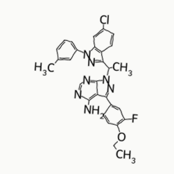 CCOc1ccc(-c2nn(C(C)c3nn(-c4cccc(C)c4)c4cc(Cl)ccc34)c3ncnc(N)c23)cc1F